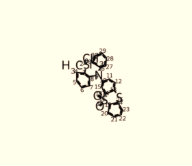 C[Si]1(C)c2ccccc2N(c2ccc3c(c2)S(=O)(=O)c2ccccc2S3)c2ccccc21